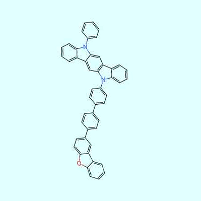 c1ccc(-n2c3ccccc3c3cc4c(cc32)c2ccccc2n4-c2ccc(-c3ccc(-c4ccc5oc6ccccc6c5c4)cc3)cc2)cc1